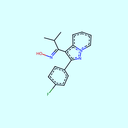 CC(C)/C(=N\O)c1c(-c2ccc(F)cc2)nn2ccccc12